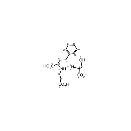 N[C@@H](CO)C(=O)O.O=C(O)CCN[C@H](CCc1ccccc1)C(=O)O